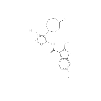 COc1cnc2c(C(=O)Nc3cnn(C)c3C3CCCC(N)CC3)c(N)sc2c1